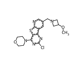 COC1CN(Cc2cnc3sc4c(N5CCOCC5)nc(Cl)nc4c3c2)C1